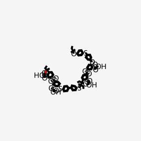 CCC(C)(C)Oc1ccc(Sc2ccc(Oc3ccc(S(=O)(=O)c4ccc(C(C)(CC)C(C)(CC)Sc5ccc(-c6ccc(Sc7ccc(S(=O)(=O)c8ccc(C(C)(C)CC)c(S(=O)(=O)O)c8)cc7S(=O)(=O)O)cc6)cc5)c(S(=O)(=O)O)c4)cc3S(=O)(=O)O)cc2)cc1